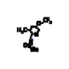 Cc1cc(OCC(F)(F)F)cnc1/C=N/[S+]([O-])C(C)(C)C